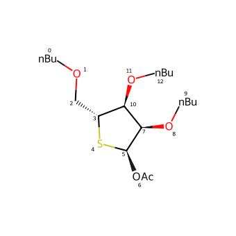 CCCCOC[C@H]1S[C@H](OC(C)=O)[C@H](OCCCC)[C@@H]1OCCCC